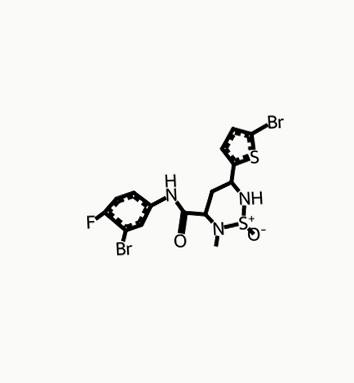 CN1C(C(=O)Nc2ccc(F)c(Br)c2)CC(c2ccc(Br)s2)N[S+]1[O-]